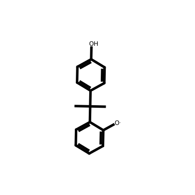 CC(C)(c1ccc(O)cc1)c1ccccc1[O]